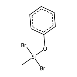 C[Si](Br)(Br)Oc1ccccc1